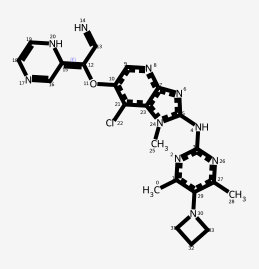 Cc1nc(Nc2nc3ncc(O/C(C=N)=C4\C=NC=CN4)c(Cl)c3n2C)nc(C)c1N1CCC1